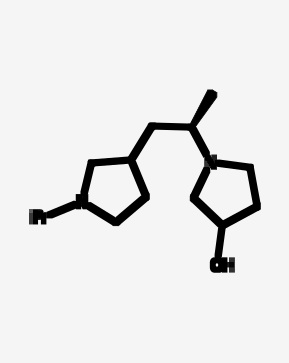 CC(C)N1CCC(C[C@@H](C)N2CCC(O)C2)C1